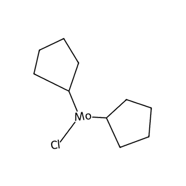 [Cl][Mo]([CH]1CCCC1)[CH]1CCCC1